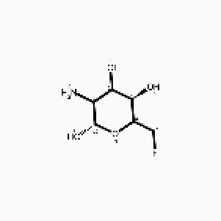 NC1C(O)[C@@H](O)C(CF)O[C@@H]1O